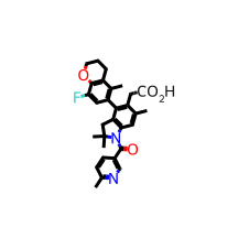 Cc1ccc(C(=O)N2c3cc(C)c(CC(=O)O)c(-c4cc(F)c5c(c4C)CCCO5)c3CC2(C)C)cn1